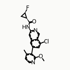 COc1nccc(C)c1-c1cc(Cl)c2cnc(NC(=O)[C@H]3C[C@H]3F)cc2c1